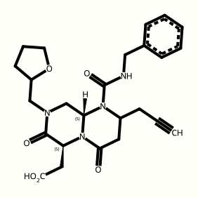 C#CCC1CC(=O)N2[C@H](CN(CC3CCCO3)C(=O)[C@@H]2CC(=O)O)N1C(=O)NCc1ccccc1